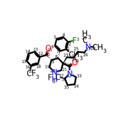 Cc1c(F)cccc1[C@H]1[C@@H](C(=O)c2cccc(C(F)(F)F)c2)CNC[C@@]1(CCCCN(C)C)C(=O)N1CCC[C@H]1C(F)(F)F